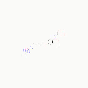 Cc1cc(OCCCC2CCN(c3nc(C(F)F)no3)CC2)ccc1C(=O)NC(CO)CO